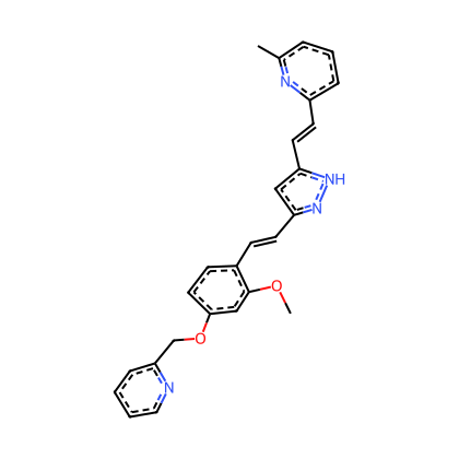 COc1cc(OCc2ccccn2)ccc1/C=C/c1cc(C=Cc2cccc(C)n2)[nH]n1